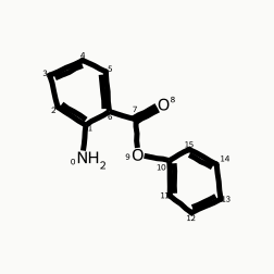 Nc1ccccc1C(=O)Oc1ccccc1